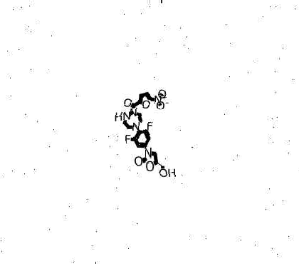 O=C(c1ccc([N+](=O)[O-])o1)N1CCN(c2c(F)cc(N3C[C@H](CO)OC3=O)cc2F)CCN1